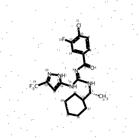 C[C@@H](N/C(=N\C(=O)c1ccc(Cl)c(F)c1)Nc1cc(C(F)(F)F)n[nH]1)C1CCCCC1